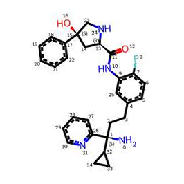 N[C@](CCc1ccc(F)c(NC(=O)[C@H]2C[C@](O)(c3ccccc3)CN2)c1)(c1ccccn1)C1CC1